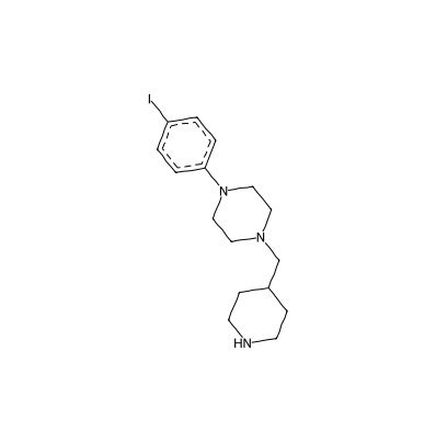 Ic1ccc(N2CCN(CC3CCNCC3)CC2)cc1